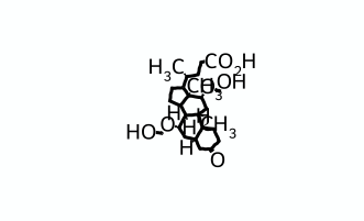 C[C@H](CCC(=O)O)C1CC[C@H]2[C@@H]3[C@H](OCO)C[C@@H]4CC(=O)CC[C@]4(C)[C@H]3C[C@H](OCO)[C@]12C